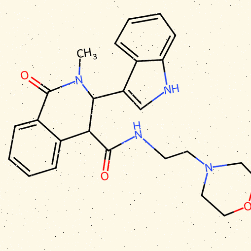 CN1C(=O)c2ccccc2C(C(=O)NCCN2CCOCC2)C1c1c[nH]c2ccccc12